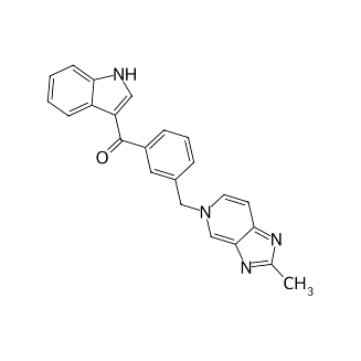 Cc1nc2ccn(Cc3cccc(C(=O)c4c[nH]c5ccccc45)c3)cc-2n1